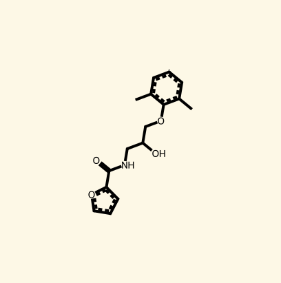 Cc1c[c]cc(C)c1OCC(O)CNC(=O)c1ccco1